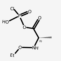 CCON[C@@H](C)C(=O)OP(=O)(O)Cl